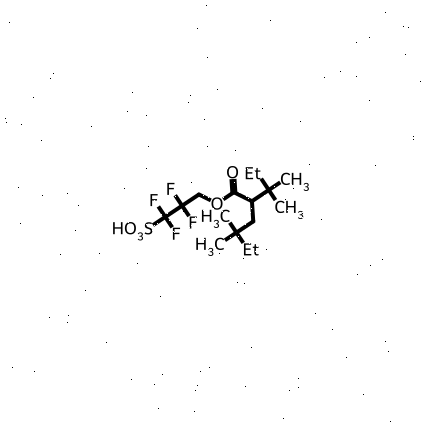 CCC(C)(C)CC(C(=O)OCC(F)(F)C(F)(F)S(=O)(=O)O)C(C)(C)CC